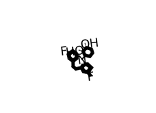 O[C@@H]1[C@H](O)CCC[C@H]1N1c2ccc(F)cc2CCc2cc(F)ccc21